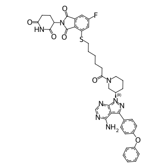 Nc1ncnc2c1c(-c1ccc(Oc3ccccc3)cc1)nn2[C@@H]1CCCN(C(=O)CCCCCSc2cc(F)cc3c2C(=O)N(C2CCC(=O)NC2=O)C3=O)C1